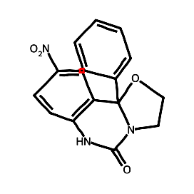 O=C1Nc2ccc([N+](=O)[O-])cc2C2(c3ccccc3)OCCN12